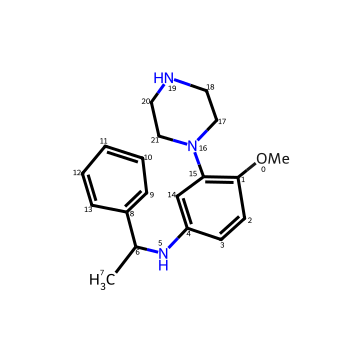 COc1ccc(NC(C)c2ccccc2)cc1N1CCNCC1